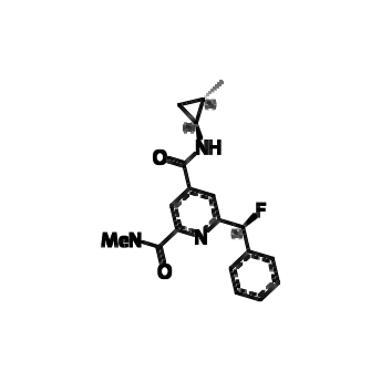 CNC(=O)c1cc(C(=O)N[C@H]2C[C@@H]2C)cc([C@@H](F)c2ccccc2)n1